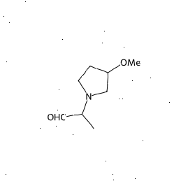 COC1CCN(C(C)C=O)C1